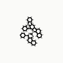 c1ccc(-c2nc(-n3c4c5ccccc5ccc4c4cc5c6ccccc6n6c7ccccc7c(c43)c56)nc3c2ccc2ccccc23)cc1